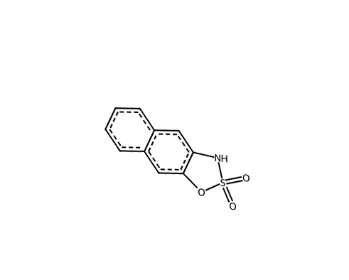 O=S1(=O)Nc2cc3ccccc3cc2O1